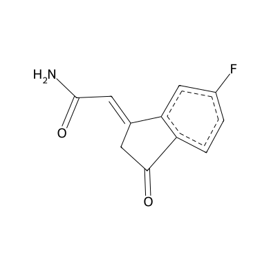 NC(=O)/C=C1\CC(=O)c2ccc(F)cc21